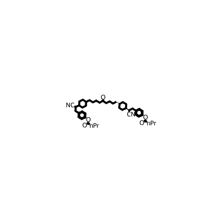 CCCC(=O)Oc1ccc(CC(C#N)C2CCC(CCCCC(=O)CCCC[C@H]3CC[C@H](C(C#N)Cc4ccc(OC(=O)CCC)cc4)CC3)CC2)cc1